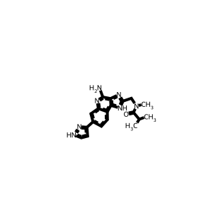 CC(C)C(=O)N(C)Cc1nc2c(N)nc3cc(-c4cc[nH]n4)ccc3c2[nH]1